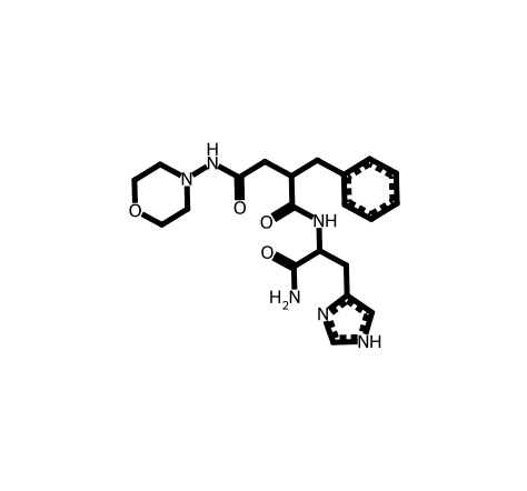 NC(=O)C(Cc1c[nH]cn1)NC(=O)C(CC(=O)NN1CCOCC1)Cc1ccccc1